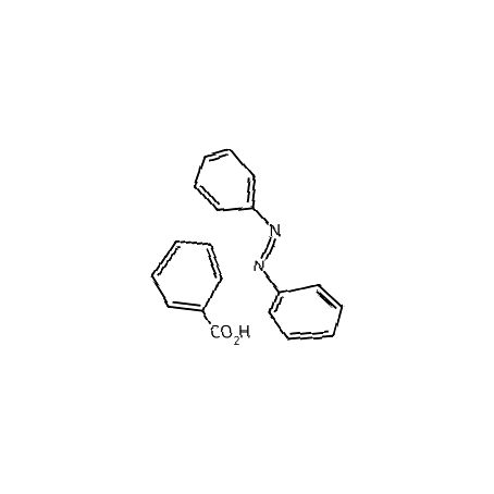 O=C(O)c1ccccc1.c1ccc(N=Nc2ccccc2)cc1